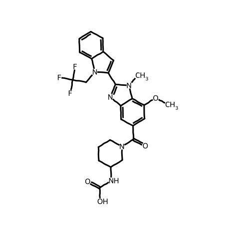 COc1cc(C(=O)N2CCCC(NC(=O)O)C2)cc2nc(-c3cc4ccccc4n3CC(F)(F)F)n(C)c12